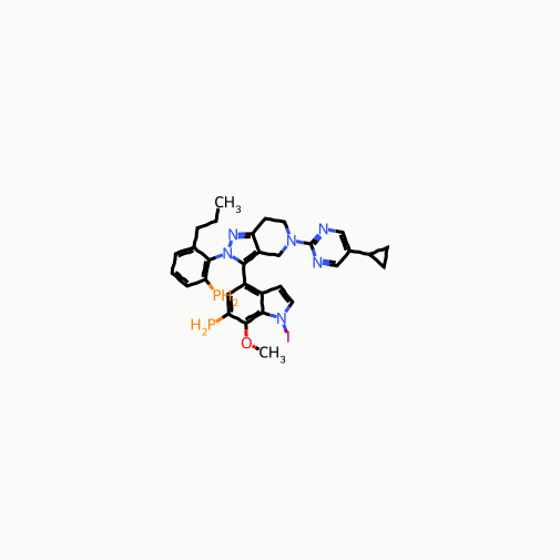 CCCc1cccc(P)c1-n1nc2c(c1-c1cc(P)c(OC)c3c1ccn3I)CN(c1ncc(C3CC3)cn1)CC2